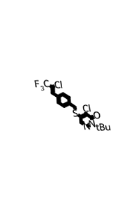 CC(C)(C)n1ncc(SCc2ccc(/C=C(\Cl)C(F)(F)F)cc2)c(Cl)c1=O